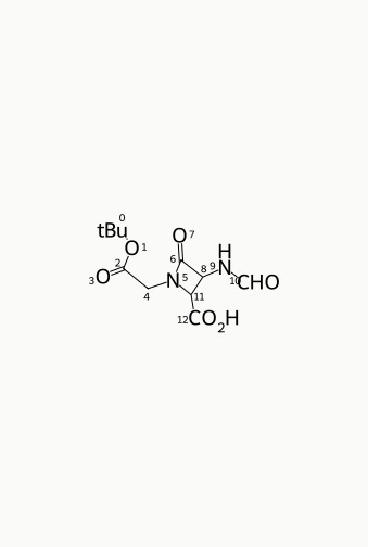 CC(C)(C)OC(=O)CN1C(=O)C(NC=O)C1C(=O)O